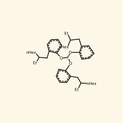 CCCCCCC(CC)Cc1ccccc1OP(Oc1ccccc1CC(CC)CCCCCC)Oc1ccccc1CC(CC)CCCCCC